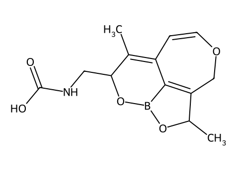 CC1=C2C=COCC3=C2B(OC3C)OC1CNC(=O)O